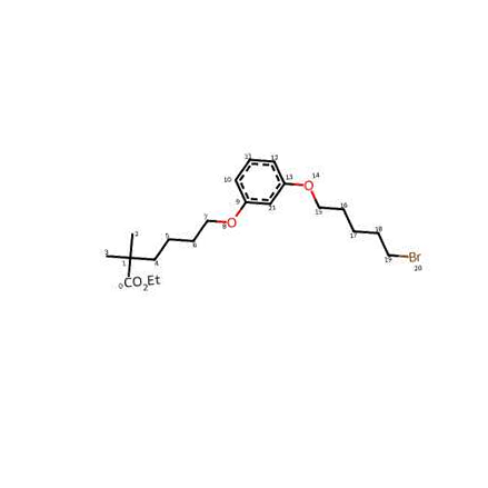 CCOC(=O)C(C)(C)CCCCOc1cccc(OCCCCCBr)c1